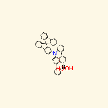 OB(O)c1ccc(-c2ccccc2N(c2ccc(-c3ccccc3)cc2)c2ccc3c(c2)C2(c4ccccc4-c4ccccc42)c2ccccc2-3)cc1